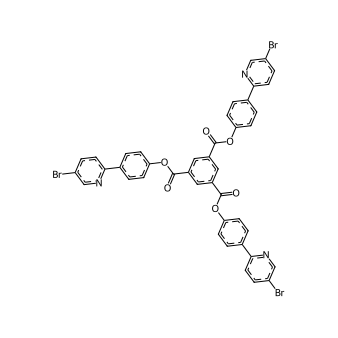 O=C(Oc1ccc(-c2ccc(Br)cn2)cc1)c1cc(C(=O)Oc2ccc(-c3ccc(Br)cn3)cc2)cc(C(=O)Oc2ccc(-c3ccc(Br)cn3)cc2)c1